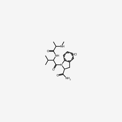 CNC(C)C(=O)NC(C(=O)N1c2ccccc2CC1C(N)=O)C(C)C.Cl